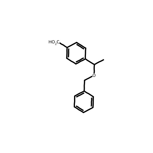 CC(OCc1ccccc1)c1ccc(C(=O)O)cc1